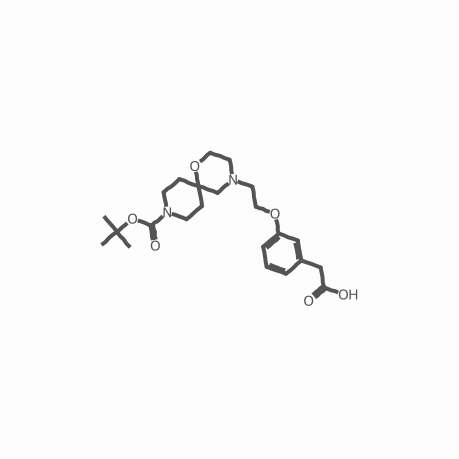 CC(C)(C)OC(=O)N1CCC2(CC1)CN(CCOc1cccc(CC(=O)O)c1)CCO2